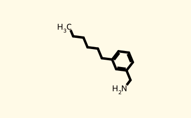 CCCCCCc1cccc(CN)c1